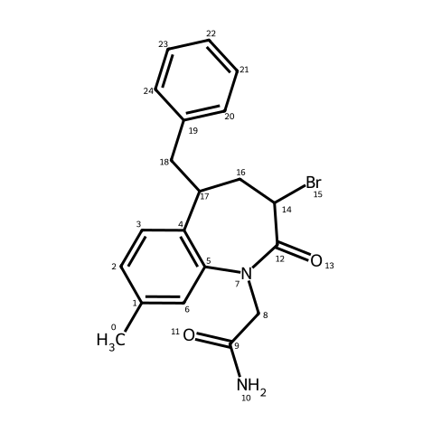 Cc1ccc2c(c1)N(CC(N)=O)C(=O)C(Br)CC2Cc1ccccc1